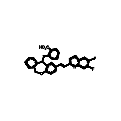 O=C(O)c1ccccc1SC1c2ccccc2COc2ccc(C=Cc3ccc4cc(F)c(F)cc4n3)cc21